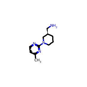 Cc1ccnc(N2CCC[C@H](CN)C2)n1